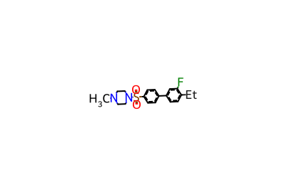 CCc1ccc(-c2ccc(S(=O)(=O)N3CCN(C)CC3)cc2)cc1F